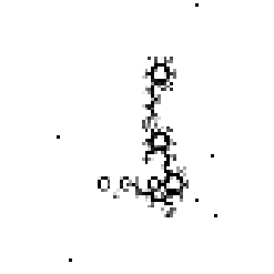 O=C(O)CCc1cc(=O)c2cccc(/C=C/c3ccc(OCCCCc4ccccc4)cc3F)c2o1